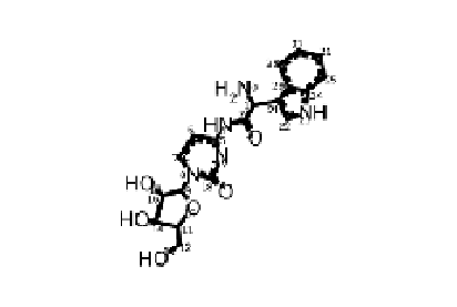 NC(C(=O)Nc1ccn(C2OC(CO)C(O)C2O)c(=O)n1)c1c[nH]c2ccccc12